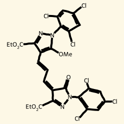 CCOC(=O)C1=NN(c2c(Cl)cc(Cl)cc2Cl)C(=O)C1=CC=Cc1c(C(=O)OCC)nn(-c2c(Cl)cc(Cl)cc2Cl)c1OC